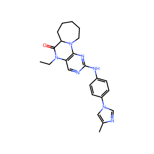 CCN1C(=O)C2CCCCCN2c2nc(Nc3ccc(-n4cnc(C)c4)cc3)ncc21